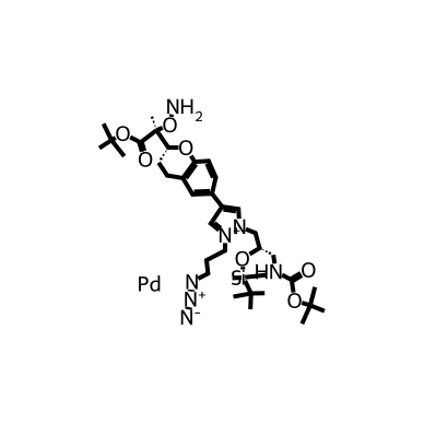 CC(C)(C)OC(=O)NC[C@@H](Cn1cc(-c2ccc3c(c2)CC[C@H]([C@](C)(ON)C(=O)OC(C)(C)C)O3)c[n+]1CCCN=[N+]=[N-])O[Si](C)(C)C(C)(C)C.[Pd]